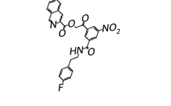 O=C(COC(=O)c1cc2ccccc2cn1)c1cc(C(=O)NCCc2ccc(F)cc2)cc([N+](=O)[O-])c1